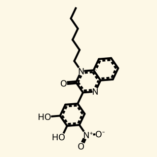 CCCCCCn1c(=O)c(-c2cc(O)c(O)c([N+](=O)[O-])c2)nc2ccccc21